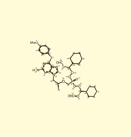 COc1ccc(Sc2nc(N)nc3c2ncn3CC(C)OCP(=O)(OOC(OC=O)C2CCCCC2)OOC(OC=O)C2CCCCC2)cc1